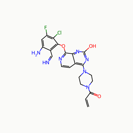 C=CC(=O)N1CCN(c2nc(O)nc3c(Oc4c(Cl)c(F)cc(N)c4C=N)nccc23)CC1